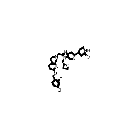 O=c1cc(-c2cc3nc(CN4CCc5ccc(OCc6ccc(Cl)cc6F)nc5C4)n(C[C@@H]4CCO4)c3cn2)cc[nH]1